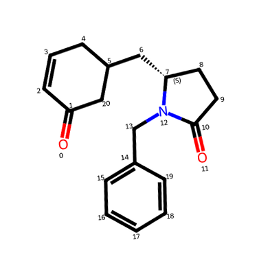 O=C1C=CCC(C[C@@H]2CCC(=O)N2Cc2ccccc2)C1